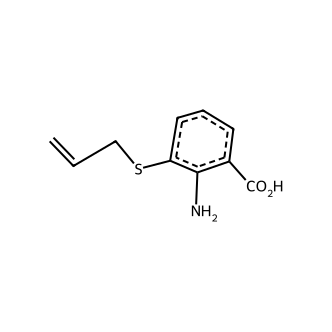 C=CCSc1cccc(C(=O)O)c1N